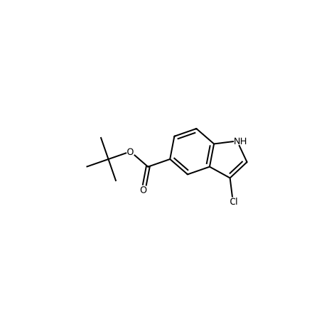 CC(C)(C)OC(=O)c1ccc2[nH]cc(Cl)c2c1